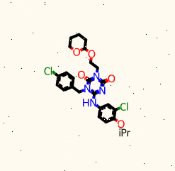 CC(C)Oc1ccc(Nc2nc(=O)n(CCOC3CCCCO3)c(=O)n2Cc2ccc(Cl)cc2)cc1Cl